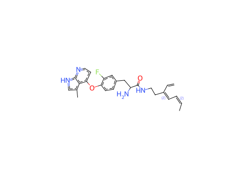 C=C/C(=C\C=C/C)CCNC(=O)C(N)Cc1ccc(Oc2ccnc3[nH]cc(C)c23)c(F)c1